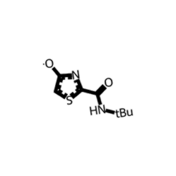 CC(C)(C)NC(=O)c1nc([O])cs1